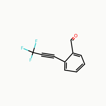 O=Cc1ccccc1C#CC(F)(F)F